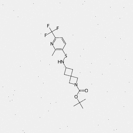 Cc1nc(C(F)(F)F)ccc1SNC1CC2(C1)CN(C(=O)OC(C)(C)C)C2